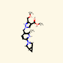 COCc1nn(Cc2ccc(N3CC4CC4C3)nc2C)cc1C(=O)OC